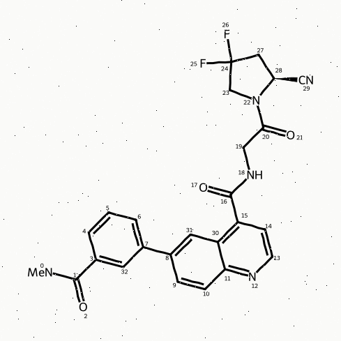 CNC(=O)c1cccc(-c2ccc3nccc(C(=O)NCC(=O)N4CC(F)(F)C[C@H]4C#N)c3c2)c1